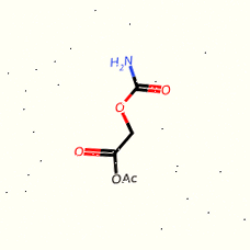 CC(=O)OC(=O)COC(N)=O